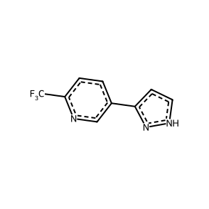 FC(F)(F)c1ccc(-c2cc[nH]n2)cn1